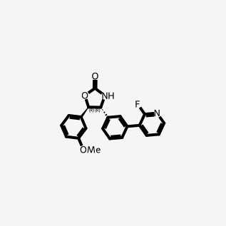 COc1cccc([C@H]2OC(=O)N[C@@H]2c2cccc(-c3cccnc3F)c2)c1